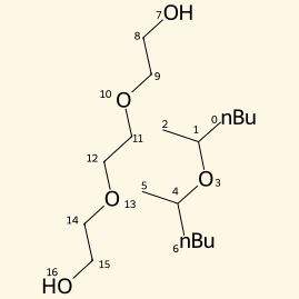 CCCCC(C)OC(C)CCCC.OCCOCCOCCO